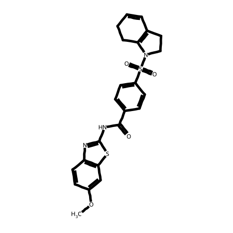 COc1ccc2nc(NC(=O)c3ccc(S(=O)(=O)N4CCC5=C4CCC=C5)cc3)sc2c1